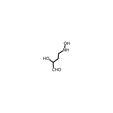 O=CC(O)[CH]CNO